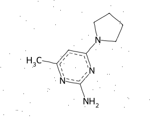 Cc1cc(N2CCCC2)nc(N)n1